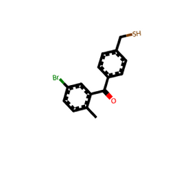 Cc1ccc(Br)cc1C(=O)c1ccc(CS)cc1